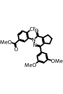 COC(=O)c1ccc(C(F)(F)F)c(-n2nc(-c3cc(OC)cc(OC)c3)c3c(c2=O)CCC3)c1